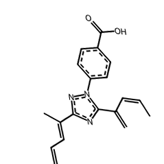 C=C/C=C(\C)c1nc(C(=C)/C=C\C)n(-c2ccc(C(=O)O)cc2)n1